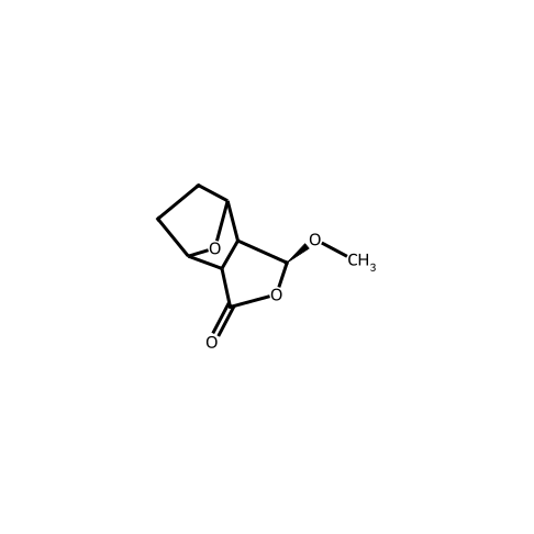 CO[C@H]1OC(=O)C2C3CCC(O3)C21